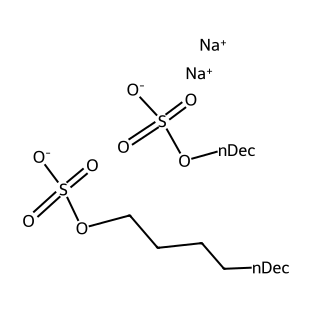 CCCCCCCCCCCCCCOS(=O)(=O)[O-].CCCCCCCCCCOS(=O)(=O)[O-].[Na+].[Na+]